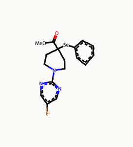 COC(=O)C1([Se]c2ccccc2)CCN(c2ncc(Br)cn2)CC1